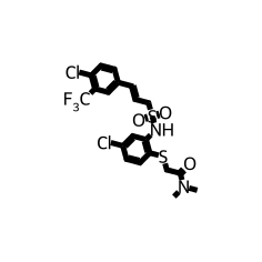 CN(C)C(=O)CSc1ccc(Cl)cc1NS(=O)(=O)CC=Cc1ccc(Cl)c(C(F)(F)F)c1